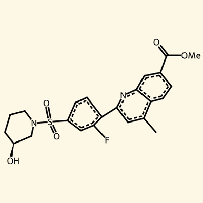 COC(=O)c1ccc2c(C)cc(-c3ccc(S(=O)(=O)N4CCC[C@H](O)C4)cc3F)nc2c1